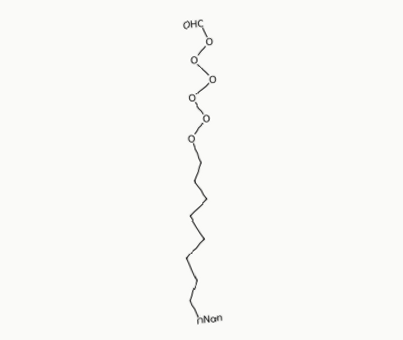 CCCCCCCCCCCCCCCCCOOOOOOC=O